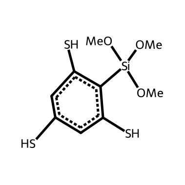 CO[Si](OC)(OC)c1c(S)cc(S)cc1S